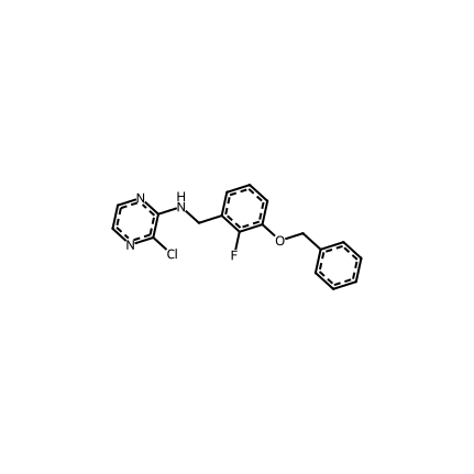 Fc1c(CNc2nccnc2Cl)cccc1OCc1ccccc1